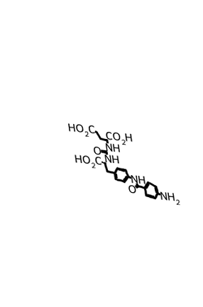 Nc1ccc(C(=O)Nc2ccc(C[C@H](NC(=O)N[C@@H](CCC(=O)O)C(=O)O)C(=O)O)cc2)cc1